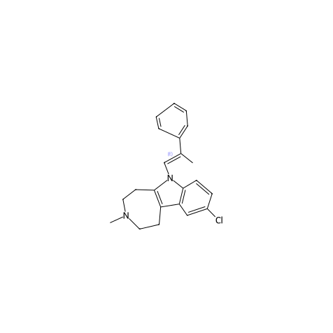 C/C(=C\n1c2c(c3cc(Cl)ccc31)CCN(C)CC2)c1ccccc1